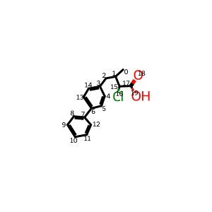 CC(Cc1ccc(-c2ccccc2)cc1)C(Cl)C(=O)O